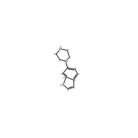 c1cc2ccc(N3CCOCC3)cc2s1